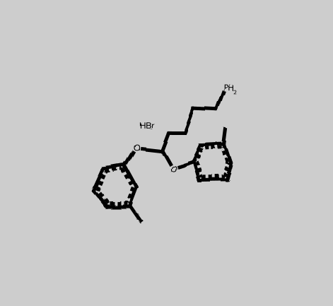 Br.Cc1cccc(OC(CCCCP)Oc2cccc(C)c2)c1